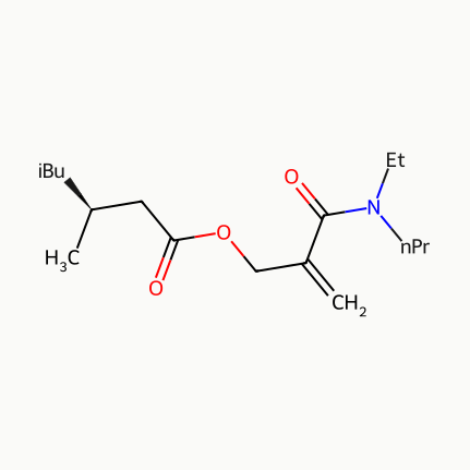 C=C(COC(=O)C[C@@H](C)C(C)CC)C(=O)N(CC)CCC